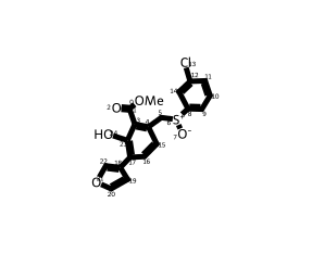 COC(=O)c1c(C[S+]([O-])c2cccc(Cl)c2)ccc(-c2ccoc2)c1O